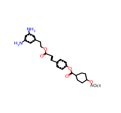 CCCCCCCCOC1CCC(C(=O)Oc2ccc(/C=C/C(=O)OCCc3cc(N)cc(N)c3)cc2)CC1